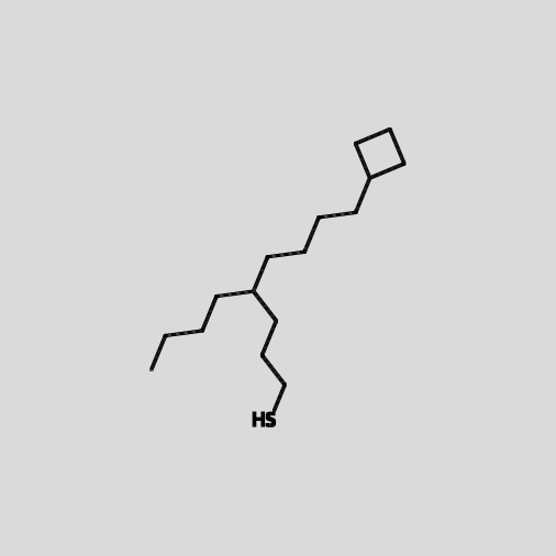 CCCCC(CCCS)CCCCC1CCC1